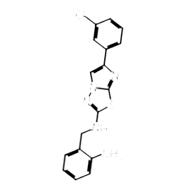 Cc1ccccc1CNc1nn2cc(-c3cccc(Cl)c3)nc2s1